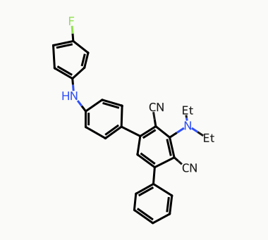 CCN(CC)c1c(C#N)c(-c2ccccc2)cc(-c2ccc(Nc3ccc(F)cc3)cc2)c1C#N